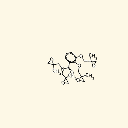 CC1(COc2cccc(C(=O)N(CC3(C)CO3)CC3(C)CO3)c2OCC2(C)CO2)CO1